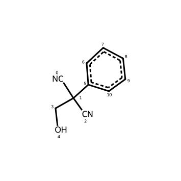 N#CC(C#N)(CO)c1ccccc1